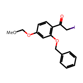 COCOc1ccc(C(=O)CI)c(OCc2ccccc2)c1